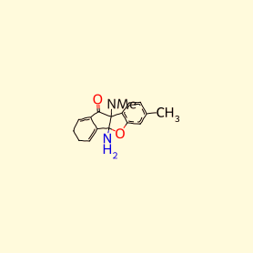 CNC12C(=O)C3=CCCC=C3C1(N)Oc1cc(C)ccc12